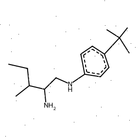 CCC(C)C(N)CNc1ccc(C(C)(C)C)cc1